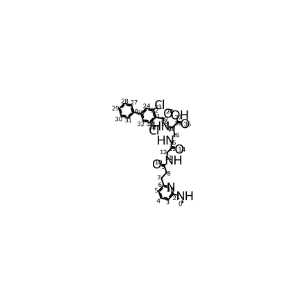 CNc1cccc(CCC(=O)NCC(=O)NC[C@@H](NC(=O)c2c(Cl)cc(-c3ccccc3)cc2Cl)C(=O)O)n1